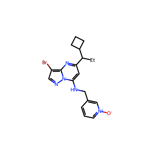 CCC(c1cc(NCc2ccc[n+]([O-])c2)n2ncc(Br)c2n1)C1CCC1